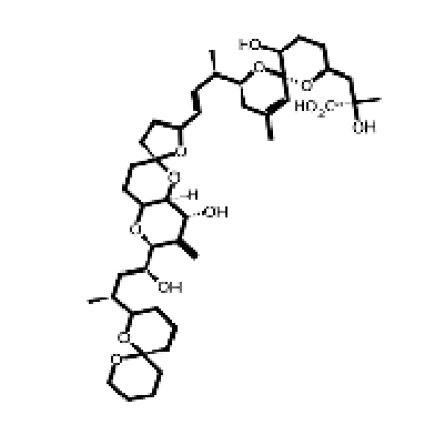 C=C1[C@@H](O)[C@@H]2O[C@]3(CCC(/C=C/[C@@H](C)[C@@H]4CC(C)=C[C@@]5(OC(C[C@@](C)(O)C(=O)O)CCC5O)O4)O3)CCC2O[C@@H]1[C@@H](O)C[C@H](C)C1CCC[C@]2(CCCCO2)O1